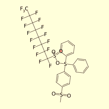 CS(=O)(=O)c1ccc(S(OS(=O)(=O)C(F)(F)C(F)(F)C(F)(F)C(F)(F)C(F)(F)C(F)(F)C(F)(F)C(F)(F)F)(c2ccccc2)c2ccccc2)cc1